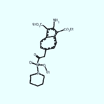 CCOC(=O)c1c2ccc(CC(=O)[N+]([O-])(OCC)N3CCCCC3)ccc-2c(C(=O)OCC)c1N